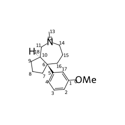 COc1cccc([C@@]23CCC[C@H]2CN(C)CCC3)c1